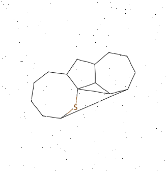 C1CCC2CC3CCCC4C(C1)SC21C3C41